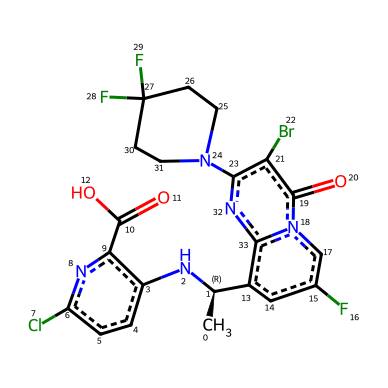 C[C@@H](Nc1ccc(Cl)nc1C(=O)O)c1cc(F)cn2c(=O)c(Br)c(N3CCC(F)(F)CC3)nc12